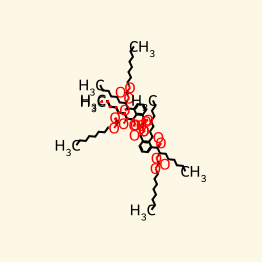 CCCCCCCCOC(=O)OC(CCCCCC)C(=O)c1cccc(C(=O)OOC(=O)c2cccc(C(=O)C(CCCCCC)OC(=O)OCCCCCCCC)c2C(=O)C(CCCCCC)OC(=O)OCCCCCCCC)c1C(=O)C(CCCCCC)OC(=O)OCCCCCCCC